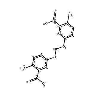 Cc1ccc(OBOc2ccc(C)c([N+](=O)[O-])c2)cc1[N+](=O)[O-]